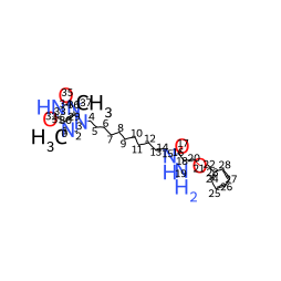 CN1CN(CCCCCCCCCCCNC(=O)C(N)COCc2ccccc2)c2c1c(=O)[nH]c(=O)n2C